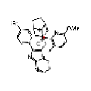 COc1ccc(C)c(C(=O)N2C3CCC2CN(Cc2c(-c4ccc(C(C)C)cc4)nc4ncccn24)C3)n1